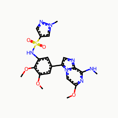 CNc1nc(OC)cn2c(-c3cc(NS(=O)(=O)c4cnn(C)c4)c(OC)c(OC)c3)cnc12